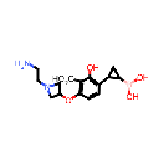 NCCN1CC(Oc2ccc(C3CC3B(O)O)c(O)c2C(=O)O)C1